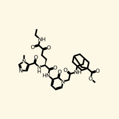 CCNC(=O)C(=O)CC[C@H](NC(=O)c1cncn1C)C(=O)Nc1cccn(CC(=O)NC23CC4CC(C2)CC(C(=O)OC)(C4)C3)c1=O